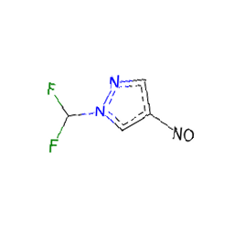 O=Nc1cnn(C(F)F)c1